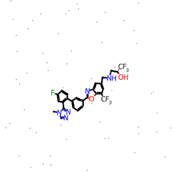 Cn1cnnc1-c1cc(F)ccc1-c1cccc(-c2nc3cc(CNC[C@@H](O)C(F)(F)F)cc(C(F)(F)F)c3o2)c1